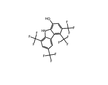 Oc1cc(C(F)(F)F)c(C(F)(F)F)c2c1[nH]c1c(C(F)(F)F)cc(C(F)(F)F)cc12